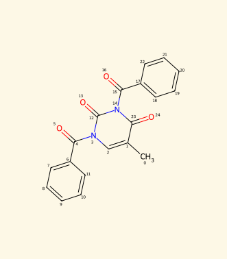 Cc1cn(C(=O)c2ccccc2)c(=O)n(C(=O)c2ccccc2)c1=O